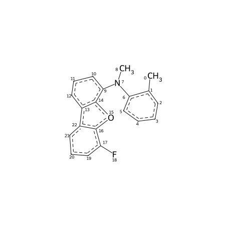 Cc1ccccc1N(C)c1cccc2c1oc1c(F)cccc12